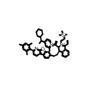 C=CC1=[N+](CC[Si](C)(C)C)C2C(=C)[n+]3ccc(C(C)C4CCCCC4)cc3-c3c(ccc4c3oc3nc(-c5c(C)cc(C)cc5C)ccc34)CCC2c2ccccc21